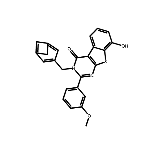 COc1cccc(-c2nc3sc4c(O)cccc4c3c(=O)n2Cc2cc3cc(c2)C3)c1